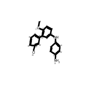 COc1ccc(Nc2ccc(N)cc2)cc1-c1cccc(Cl)c1